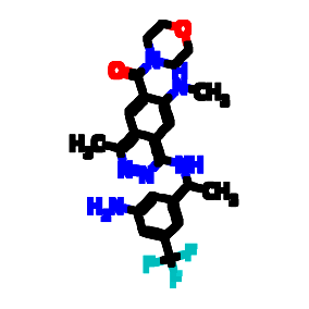 CNc1cc2c(NC(C)c3cc(N)cc(C(F)(F)F)c3)nnc(C)c2cc1C(=O)N1CCOCC1